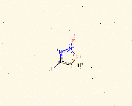 [H+].[O-][n+]1nc(I)cs1